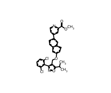 COC(=O)c1cc(-c2ccc3cc(OCc4c(-c5c(Cl)cccc5Cl)noc4C(C)C)ccc3c2)ccn1